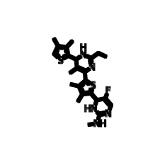 CCC1=NC(c2sc(C3NC(NC)=NC=C3F)c(C)c2C)=C(C)C(c2scc(C)c2C)N1